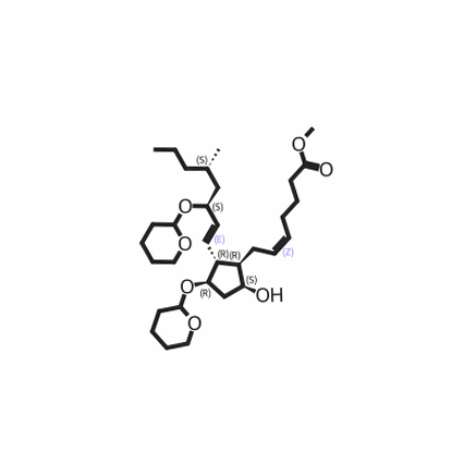 CCC[C@H](C)C[C@@H](/C=C/[C@@H]1[C@@H](C/C=C\CCCC(=O)OC)[C@@H](O)C[C@H]1OC1CCCCO1)OC1CCCCO1